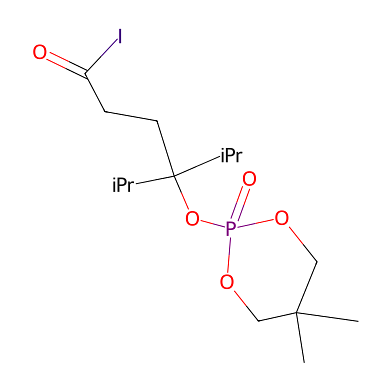 CC(C)C(CCC(=O)I)(OP1(=O)OCC(C)(C)CO1)C(C)C